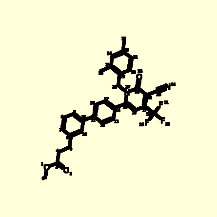 COC(=O)CCc1cccc(-c2ccc(-c3cc(C(F)(F)F)c(C#N)c(=O)n3Cc3ccc(C)cc3C)cc2)c1